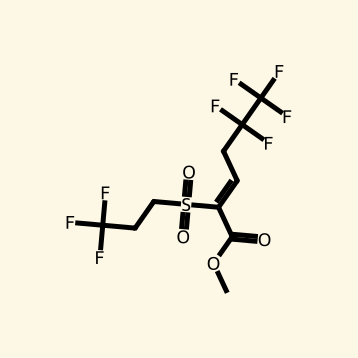 COC(=O)C(=CCC(F)(F)C(F)(F)F)S(=O)(=O)CCC(F)(F)F